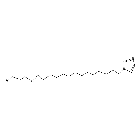 CC(C)CCCOCCCCCCCCCCCCCCn1ccnc1